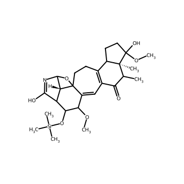 COC1C2=CC3=C(CCC24OC2N=C(O)C(C1O[Si](C)(C)C)[C@H]24)C1CCC(O)(OC)[C@@]1(C)C(C)C3=O